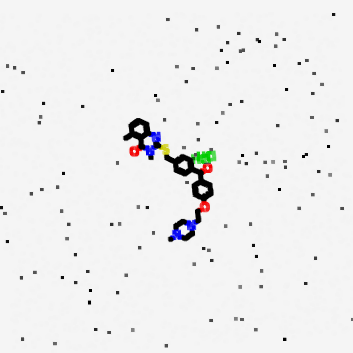 Cc1cccc2nc(SCc3ccc(C(=O)c4ccc(OCCN5CCN(C)CC5)cc4)cc3)n(C)c(=O)c12.Cl.Cl